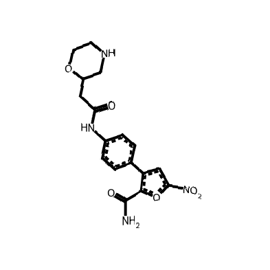 NC(=O)c1oc([N+](=O)[O-])cc1-c1ccc(NC(=O)CC2CNCCO2)cc1